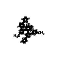 Cc1ccc(-c2sc(-c3cccs3)cc2C2=C(c3cc(C)sc3-c3ccc(-c4cccs4)s3)C(F)(F)C(F)(F)C2(F)F)s1